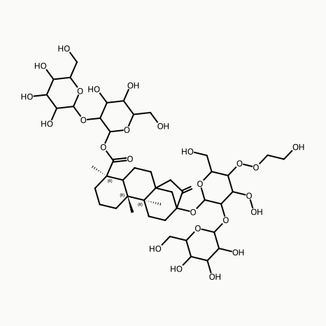 C=C1CC23CCC4[C@](C)(C(=O)OC5OC(CO)C(O)C(O)C5OC5OC(CO)C(O)C(O)C5O)CCC[C@@]4(C)[C@]2(C)CCC1(OC1OC(CO)C(OOCCO)C(OO)C1OC1OC(CO)C(O)C(O)C1O)C3